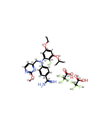 CCOc1cc(OC(C)C)c(F)c(N(Cc2ccnc(OC)n2)c2ccc(C(=N)N)cc2)c1.O=C(O)C(F)(F)F.O=C(O)C(F)(F)F